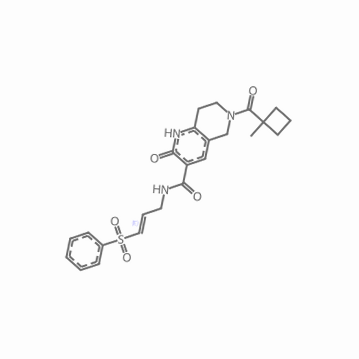 CC1(C(=O)N2CCc3[nH]c(=O)c(C(=O)NC/C=C/S(=O)(=O)c4ccccc4)cc3C2)CCC1